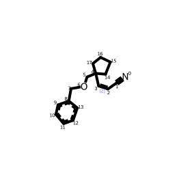 N#C/C=C\C1(COCc2ccccc2)CCCC1